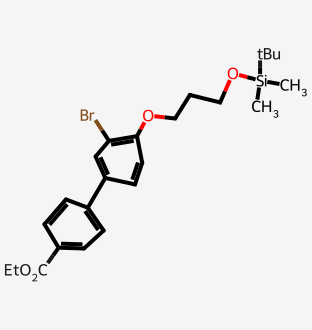 CCOC(=O)c1ccc(-c2ccc(OCCCO[Si](C)(C)C(C)(C)C)c(Br)c2)cc1